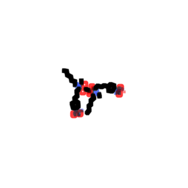 CCCCCCCN(CC)C(CCCc1ccc([N+](=O)[O-])cc1)OC(=O)C(=O)OC(CCCc1ccc([N+](=O)[O-])cc1)N(CC)CCCCCCC